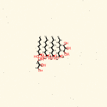 CCCCCCCC(=O)O.CCCCCCCC(=O)O.CCCCCCCC(=O)O.CCCCCCCC(=O)O.OCC(O)CO.OCC(O)CO